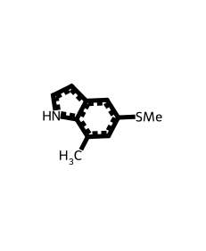 CSc1cc(C)c2[nH]ccc2c1